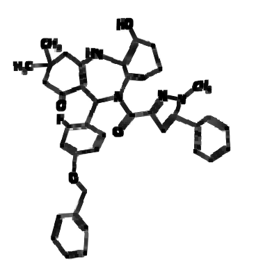 Cn1nc(C(=O)N2C3=CCCC(O)=C3NC3=C(C(=O)CC(C)(C)C3)C2c2ccc(OCc3ccccc3)cc2F)cc1-c1ccccc1